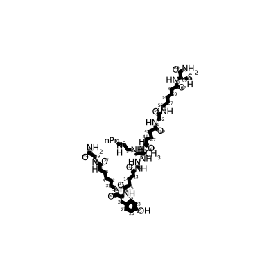 CCCNCCNC[C@@](C)(NNNC(=O)CCCC(=O)N[C@@H](Cc1ccc(O)cc1)C(=O)NCCCCCC(=O)NCC(N)=O)NC(=O)CCCC(=O)NCC(=O)NCCCCCC(=O)N[C@@H](CS)C(N)=O